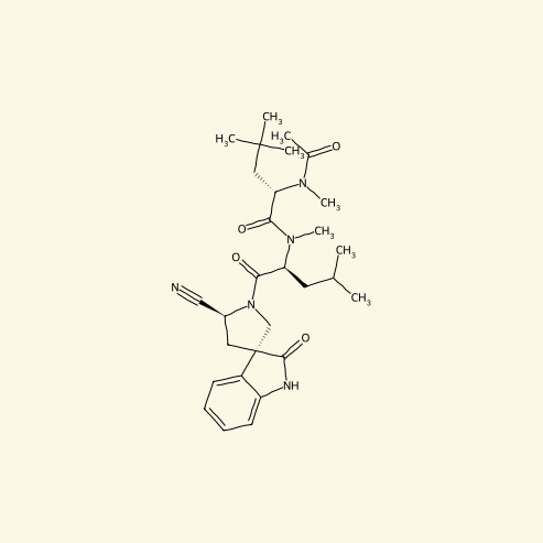 CC(=O)N(C)[C@@H](CC(C)(C)C)C(=O)N(C)[C@@H](CC(C)C)C(=O)N1C[C@]2(C[C@H]1C#N)C(=O)Nc1ccccc12